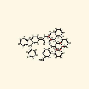 CC(C)(C)c1ccc(N(c2cccc(-c3ccc4c5ccccc5n(-c5ccccc5)c4c3)c2)c2ccccc2-c2cccc3cccc(-c4ccccc4)c23)c(-c2ccccc2)c1